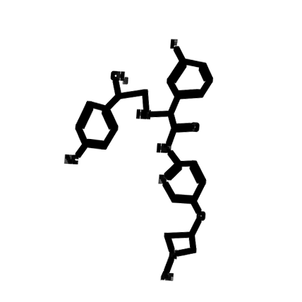 CC(=O)N1CC(Oc2ccc(NC(=O)C(NCC(C)c3ccc(C#N)cc3)c3cccc(F)c3)nc2)C1